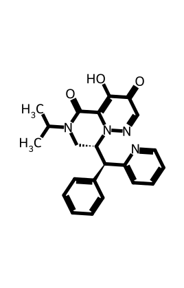 CC(C)N1C[C@@H]([C@H](c2ccccc2)c2ccccn2)n2ncc(=O)c(O)c2C1=O